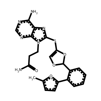 Cc1ccc(-c2ccccc2C2OC=C(Sc3nc4c(N)ncnc4n3CCC(N)=O)O2)o1